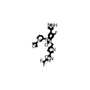 O=c1n(Cc2ccc(-c3nnc(C(F)F)o3)cn2)c2cc(F)c(-c3cn[nH]c3)cc2n1C1CCCN(C2COC2)C1